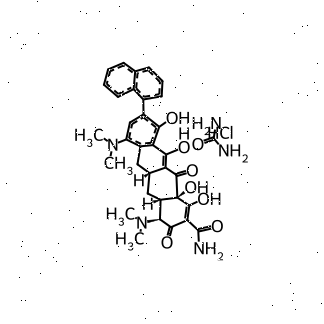 CN(C)c1cc(-c2cccc3ccccc23)c(O)c2c1C[C@H]1C[C@H]3[C@H](N(C)C)C(=O)C(C(N)=O)=C(O)[C@@]3(O)C(=O)C1=C2O.Cl.NC(N)=O